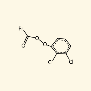 CC(C)C(=O)OOc1cccc(Cl)c1Cl